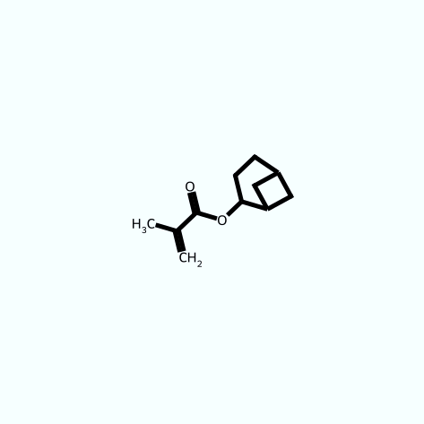 C=C(C)C(=O)OC1CCC2CC1C2